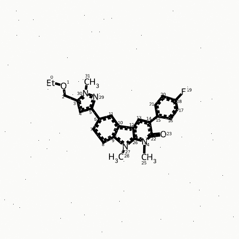 CCOCc1cc(-c2ccc3c(c2)c2cc(-c4ccc(F)cc4)c(=O)n(C)c2n3C)nn1C